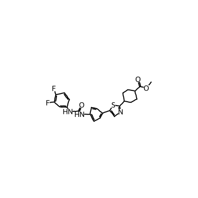 COC(=O)C1CCC(c2ncc(-c3ccc(NC(=O)Nc4ccc(F)c(F)c4)cc3)s2)CC1